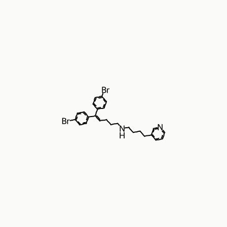 Brc1ccc(C(=CCCCNCCCCc2cccnc2)c2ccc(Br)cc2)cc1